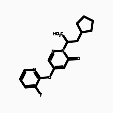 O=C(O)C(CC1CCCC1)n1ncc(Oc2ncccc2F)cc1=O